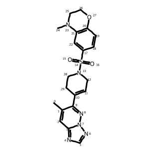 Cc1cc2ncnn2nc1C1=CCN(S(=O)(=O)c2ccc3c(c2)N(C)CCO3)CC1